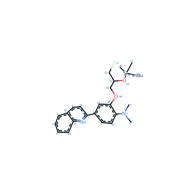 CN(C)c1ccc(-c2ccc3ccccc3n2)cc1OCC(CF)O[Si](C)(C)C(C)(C)C